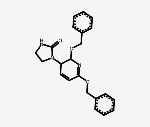 O=C1NCCN1C1C=CC(OCc2ccccc2)=NC1OCc1ccccc1